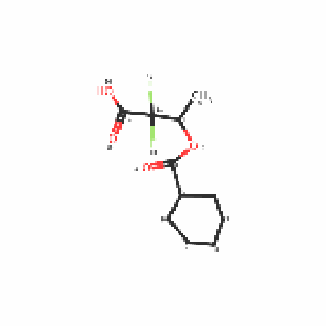 CC(OC(=O)C1CCCCC1)C(F)(F)C(=O)O